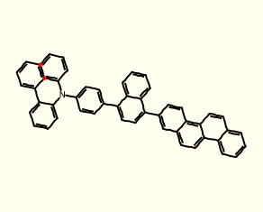 c1ccc(-c2ccccc2N(c2ccccc2)c2ccc(-c3ccc(-c4ccc5c(ccc6c7ccccc7ccc56)c4)c4ccccc34)cc2)cc1